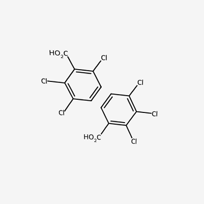 O=C(O)c1c(Cl)ccc(Cl)c1Cl.O=C(O)c1ccc(Cl)c(Cl)c1Cl